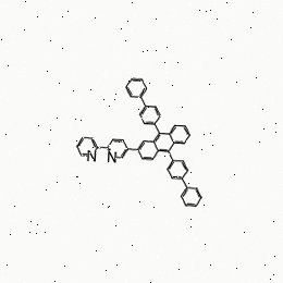 c1ccc(-c2ccc(-c3c4ccccc4c(-c4ccc(-c5ccccc5)cc4)c4cc(-c5ccc(-c6ccccn6)nc5)ccc34)cc2)cc1